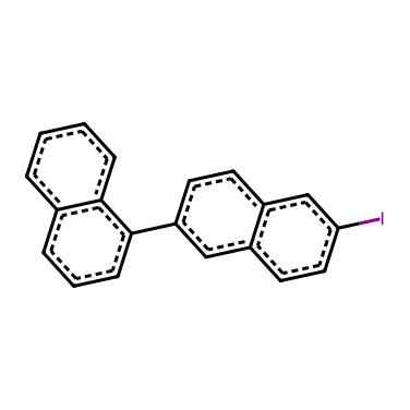 Ic1ccc2cc(-c3cccc4ccccc34)ccc2c1